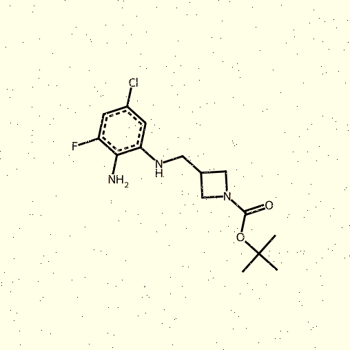 CC(C)(C)OC(=O)N1CC(CNc2cc(Cl)cc(F)c2N)C1